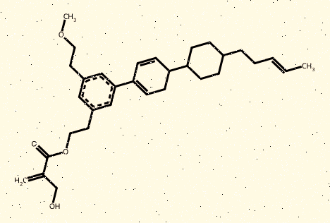 C=C(CO)C(=O)OCCc1cc(CCOC)cc(C2=CCC(C3CCC(CC/C=C/C)CC3)C=C2)c1